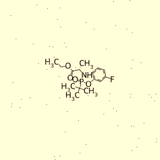 CCOC(=O)[C@H](C)N[P@](=O)(Oc1cccc(F)c1)C(C)(C)C